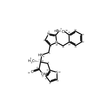 CCCCc1ncc(CN[C@@](C)(Cc2cccs2)C(=O)OC)n1Cc1ccccc1Cl